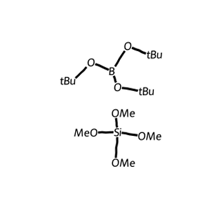 CC(C)(C)OB(OC(C)(C)C)OC(C)(C)C.CO[Si](OC)(OC)OC